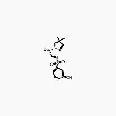 CCN(C=NS(=O)(=O)c1cccc(C#N)c1)N1CC(C)(C)C=N1